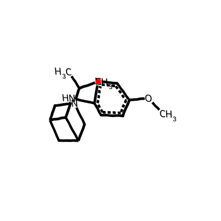 COc1ccc(NC2C3CC2CN(C(C)C)C3)nc1